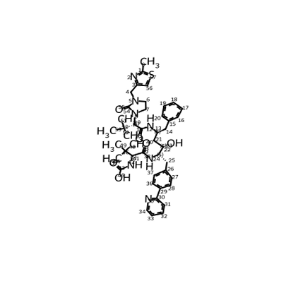 Cc1nc(CN2CCN([C@H](C(=O)N[C@@H](Cc3ccccc3)C[C@H](O)[C@H](Cc3ccc(-c4ccccn4)cc3)NC(=O)[C@@H](NC(=O)O)C(C)(C)C)C(C)(C)C)C2=O)cs1